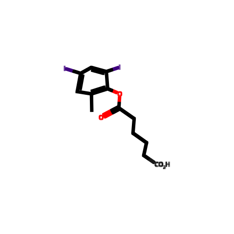 Cc1cc(I)cc(I)c1OC(=O)CCCCC(=O)O